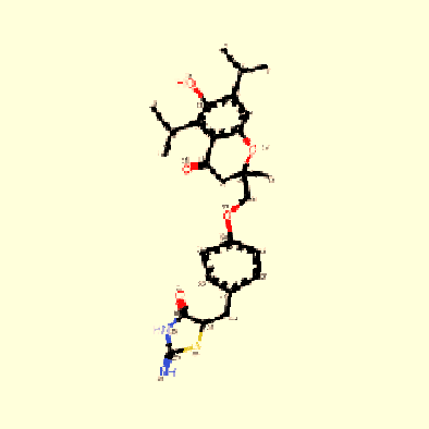 CC(C)c1cc2c(c(C(C)C)c1O)C(=O)CC(C)(COc1ccc(CC3SC(=N)NC3=O)cc1)O2